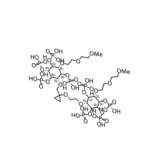 COCCOCCO[C@@H]1[C@@H](OP(=O)(O)O)[C@H](OCC2(OCCO[C@@H]3[C@@H](OP(=O)(O)O)[C@H](OCCOCCOC)[C@@H](OP(=O)(O)O)[C@@H](OP(=O)(O)O)[C@H]3OP(=O)(O)O)CC2)[C@@H](OP(=O)(O)O)[C@H](OP(=O)(O)O)[C@H]1OP(=O)(O)O